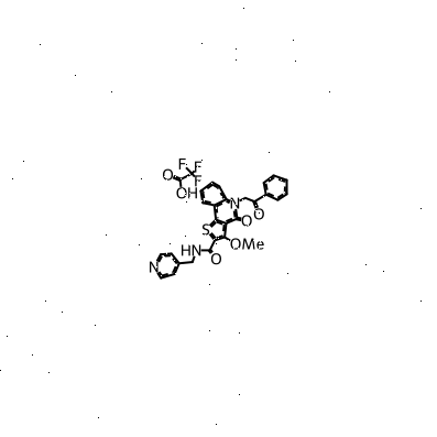 COc1c(C(=O)NCc2ccncc2)sc2c1c(=O)n(CC(=O)c1ccccc1)c1ccccc21.O=C(O)C(F)(F)F